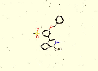 CN1C=C(c2cc(OCc3ccccc3)cc(S(C)(=O)=O)c2)c2ccccc2C1C=O